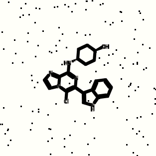 O[C@H]1CC[C@H](Nc2nc(-c3c[nH]c4ccccc34)c(Cl)n3ccnc23)CC1